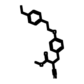 CCc1ccc(CCOc2ccc(CC(C#N)C(=O)OC)cc2)cc1